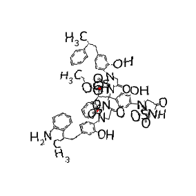 CCOC(=O)C(c1ccccc1)C(c1ccc(N2CC(=O)NS2(=O)=O)c(O)c1)(N1C(=O)CN(c2ccc(CC(C)c3ccccc3)cc2O)S1(=O)=O)N1C(=O)CN(c2ccc(CC(C)c3ccccc3N)cc2O)S1(=O)=O